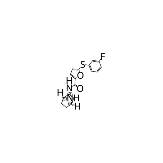 O=C(N[C@@H]1C[C@H]2CC[C@@H]1N2)c1ccc(Sc2cccc(F)c2)o1